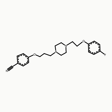 N#Cc1ccc(OCCCN2CCN(CCOc3ccc(F)cc3)CC2)cc1